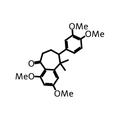 COc1cc(OC)c2c(c1)C(C)(C)C(c1ccc(OC)c(OC)c1)CCC2=O